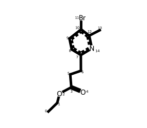 CCOC(=O)CCc1ccc(Br)c(C)n1